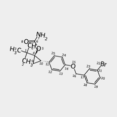 CC(C)(C)[C@@]1(OC(N)=O)C[C@H]1c1ccc(OCc2cccc(Br)c2)cc1